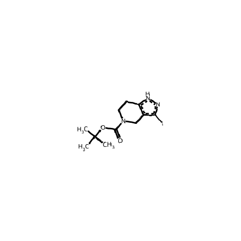 CC(C)(C)OC(=O)N1CCc2[nH]nc(I)c2C1